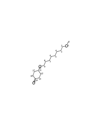 COCCCCCCCCOC1CCC(=O)CC1